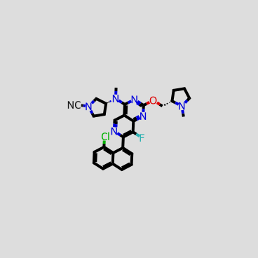 CN1CCC[C@H]1COc1nc(N(C)[C@@H]2CCN(C#N)C2)c2cnc(-c3cccc4cccc(Cl)c34)c(F)c2n1